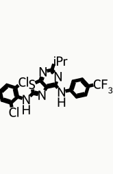 CC(C)c1nc(Nc2ccc(C(F)(F)F)cc2)c2nc(Nc3c(Cl)cccc3Cl)sc2n1